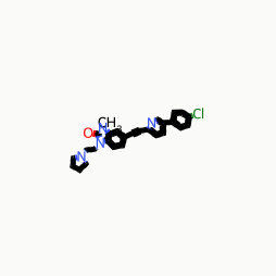 Cn1c(=O)n(CCN2CCCC2)c2ccc(C#Cc3ccc(-c4ccc(Cl)cc4)cn3)cc21